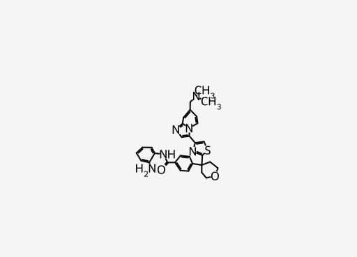 CN(C)Cc1ccn2c(-c3csc(C4(c5ccc(C(=O)Nc6ccccc6N)cc5)CCOCC4)n3)cnc2c1